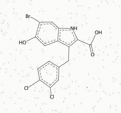 O=C(O)c1[nH]c2cc(Br)c(O)cc2c1Cc1ccc(Cl)c(Cl)c1